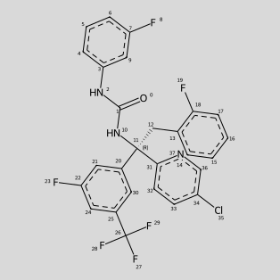 O=C(Nc1cccc(F)c1)N[C@](Cc1ccccc1F)(c1cc(F)cc(C(F)(F)F)c1)c1ccc(Cl)cn1